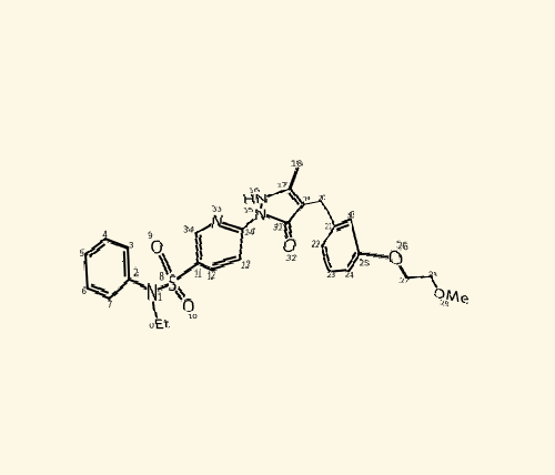 CCN(c1ccccc1)S(=O)(=O)c1ccc(-n2[nH]c(C)c(Cc3cccc(OCCOC)c3)c2=O)nc1